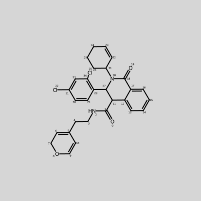 O=C(NCCC1=CCOC=C1)C1c2ccccc2C(=O)N(C2C=CCCC2)C1c1ccc(Cl)cc1Cl